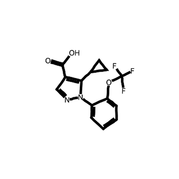 O=C(O)c1cnn(-c2ccccc2OC(F)(F)F)c1C1CC1